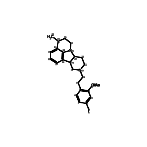 COc1cc(F)ccc1CCN1CCC2C(C1)c1cccc3c1N2CCN3C